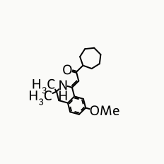 COc1ccc2c(c1)/C(=C/C(=O)C1CCCCCC1)NC(C)(C)C2